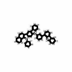 c1ccc(-n2c3cc4c(cc3c3ccc5ccccc5c32)c2ccccc2n4-c2cccc(-c3cccc4c3sc3ccccc34)c2)cc1